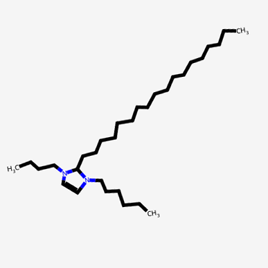 CCCCCCCCCCCCCCCCCCC1N(CCCC)C=CN1CCCCCC